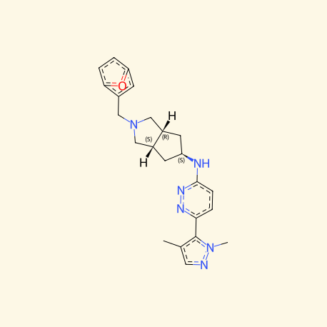 Cc1cnn(C)c1-c1ccc(N[C@H]2C[C@@H]3CN(Cc4cc5ccc4o5)C[C@@H]3C2)nn1